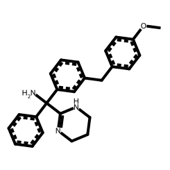 COc1ccc(Cc2cccc(C(N)(C3=NCCCN3)c3ccccc3)c2)cc1